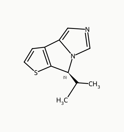 CC(C)[C@H]1c2sccc2-c2cncn21